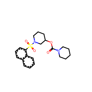 O=C(OC1CCCN(S(=O)(=O)c2cccc3ccccc23)C1)N1CCCCC1